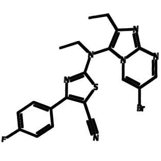 CCc1nc2ncc(Br)cn2c1N(CC)c1nc(-c2ccc(F)cc2)c(C#N)s1